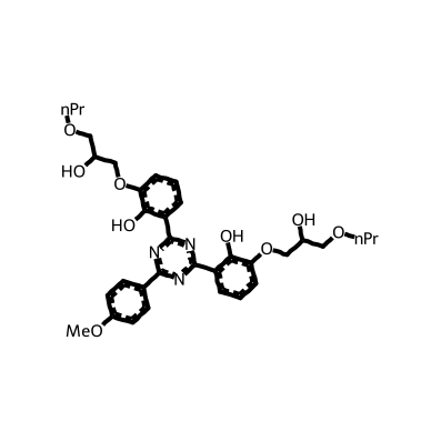 CCCOCC(O)COc1cccc(-c2nc(-c3ccc(OC)cc3)nc(-c3cccc(OCC(O)COCCC)c3O)n2)c1O